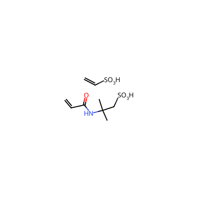 C=CC(=O)NC(C)(C)CS(=O)(=O)O.C=CS(=O)(=O)O